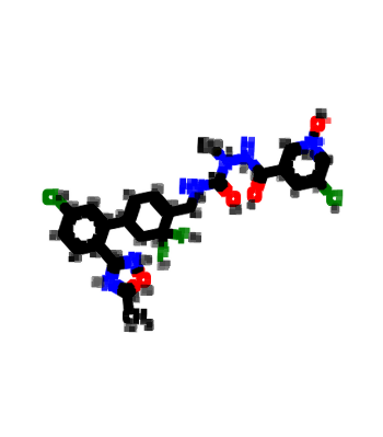 CCN(NC(=O)c1cc(Cl)c[n+]([O-])c1)C(=O)NCC1=CC=C(c2cc(Cl)ccc2-c2noc(C)n2)CC1(F)F